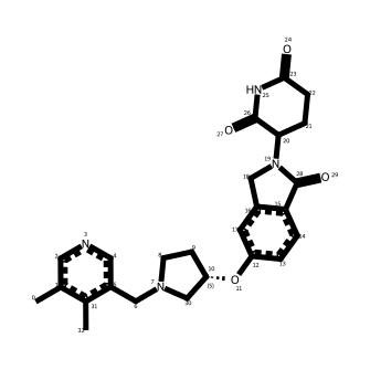 Cc1cncc(CN2CC[C@H](Oc3ccc4c(c3)CN(C3CCC(=O)NC3=O)C4=O)C2)c1C